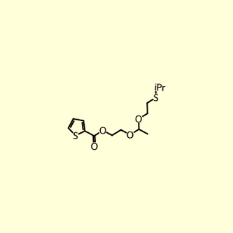 CC(OCCOC(=O)c1cccs1)OCCSC(C)C